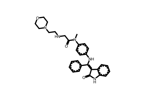 CN(C(=O)CNCCN1CCOCC1)c1ccc(NC(=C2C(=O)Nc3ccccc32)c2ccccc2)cc1